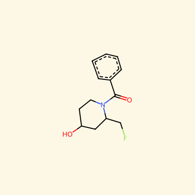 O=C(c1ccccc1)N1CCC(O)CC1CF